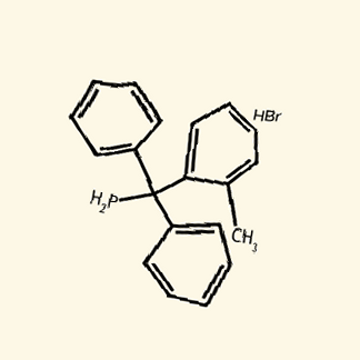 Br.Cc1ccccc1C(P)(c1ccccc1)c1ccccc1